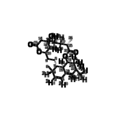 [2H]C1=C([2H])[C@]([2H])(C)[C@H](CCC2C[C@@H](O)CC(=O)O2)[C@@H]2C1=C([2H])[C@]([2H])(C([2H])([2H])[2H])C([2H])([2H])C2OC(=O)[C@@H](C)C([2H])([2H])C([2H])([2H])[2H]